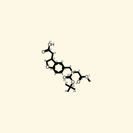 COC(=O)CN(Cc1ccc2c(c1)C(CC(=O)O)CO2)C(=O)OC(C)(C)C